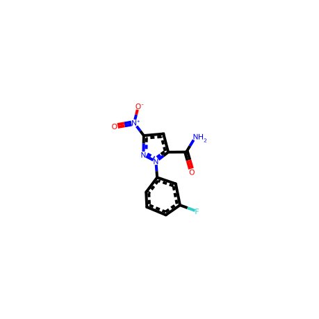 NC(=O)c1cc([N+](=O)[O-])nn1-c1cccc(F)c1